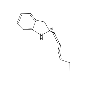 CCC=C=C=C[C@@H]1Cc2ccccc2N1